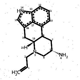 C=CCN1C[C@@H](N)CC2c3cccc4[nH]cc(c34)C[C@H]21